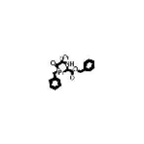 CCCC(NC(CCC)C(=O)OCc1ccccc1)C(=O)OCc1ccccc1